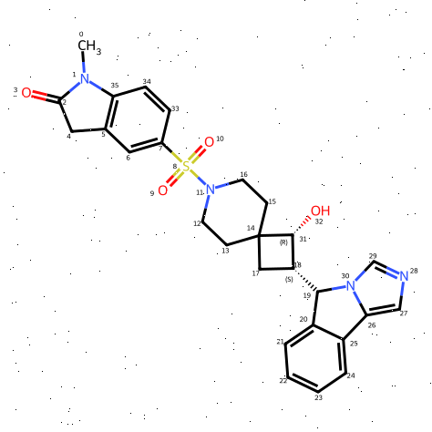 CN1C(=O)Cc2cc(S(=O)(=O)N3CCC4(CC3)C[C@@H](C3c5ccccc5-c5cncn53)[C@H]4O)ccc21